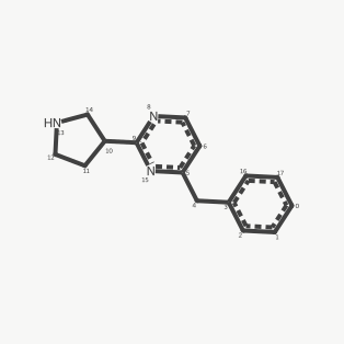 c1ccc(Cc2ccnc(C3CCNC3)n2)cc1